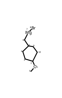 COC1CCC([CH2][Mg][Br])CC1